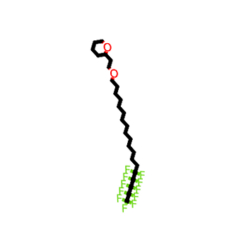 FC(F)(F)C(F)(F)C(F)(F)C(F)(F)C(F)(F)CCCCCCCCCCCCCCOCCC1CCCCO1